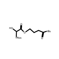 CCCCCCCCCC(O)C(=O)OCCCC(=O)CCCC